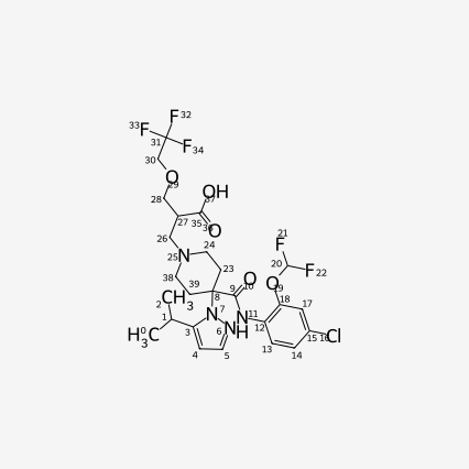 CC(C)c1ccnn1C1(C(=O)Nc2ccc(Cl)cc2OC(F)F)CCN(CC(COCC(F)(F)F)C(=O)O)CC1